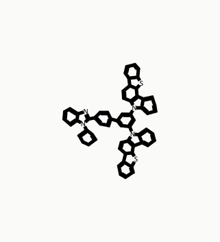 C1=CC2SC3c4c(n(-c5cc(-c6ccc(-c7nc8ccccc8n7C7=CCCC=C7)cc6)cc(-n6c7c(c8ccccc86)C6Sc8ccccc8C6C=C7)c5)c5ccccc45)C=CC3C2C=C1